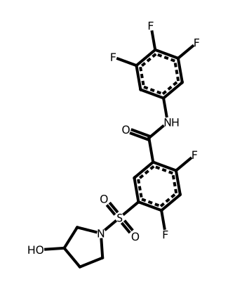 O=C(Nc1cc(F)c(F)c(F)c1)c1cc(S(=O)(=O)N2CCC(O)C2)c(F)cc1F